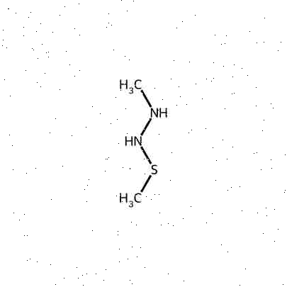 CNNSC